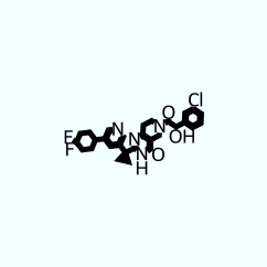 O=C([C@H](O)c1cccc(Cl)c1)N1CCc2nc(C3(c4cncc(C5CCC(F)(F)CC5)c4)CC3)[nH]c(=O)c2C1